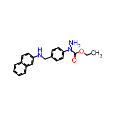 CCOC(=O)N(N)c1ccc(CNc2ccc3ccccc3c2)cc1